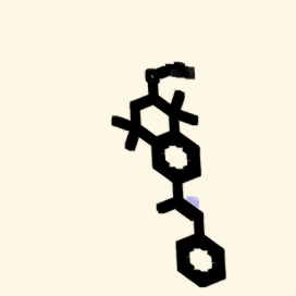 CCCCOC1CC(C)(C)c2cc(/C(C)=C/c3ccccc3)ccc2C1(C)C